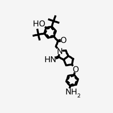 CC(C)(C)c1cc(C(=O)CN2CC3CC(Oc4ccc(N)cc4)CC3C2=N)cc(C(C)(C)C)c1O